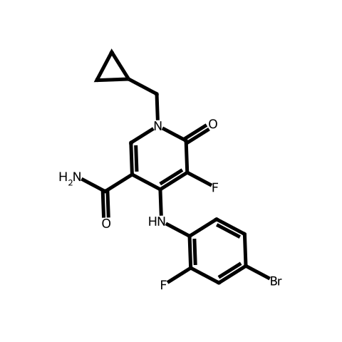 NC(=O)c1cn(CC2CC2)c(=O)c(F)c1Nc1ccc(Br)cc1F